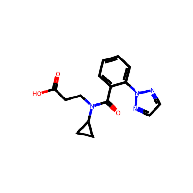 O=C(O)CCN(C(=O)c1ccccc1-n1nccn1)C1CC1